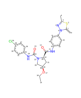 C=C1SC(C)=NN1c1ccc(NC(=O)[C@H]2C[C@@H](OCC)CN2C(=O)Nc2ccc(Cl)cc2)cc1